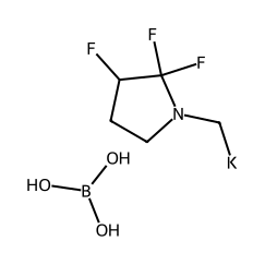 FC1CCN([CH2][K])C1(F)F.OB(O)O